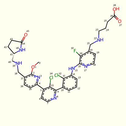 COc1nc(-c2ccnc(-c3cccc(Nc4nccc(CNCCCC(=O)O)c4F)c3Cl)c2Cl)ccc1CNC[C@@H]1CCC(=O)N1